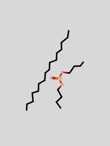 CCCCCCCCCCCCCCCC.CCCCO[PH](=O)OCCCC